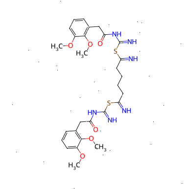 COc1cccc(CC(=O)NC(=N)SC(=N)CCCCC(=N)SC(=N)NC(=O)Cc2cccc(OC)c2OC)c1OC